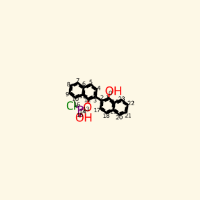 Oc1c(-c2ccc3ccccc3c2OP(O)Cl)ccc2ccccc12